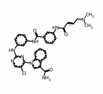 CN(C)C/C=C/C(=O)Nc1cccc(C(=O)Nc2cccc(Nc3ncc(Cl)c(-n4cc(C(N)=O)c5ccccc54)n3)c2)c1